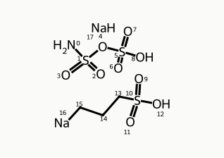 NS(=O)(=O)OS(=O)(=O)O.O=S(=O)(O)CC[CH2][Na].[NaH]